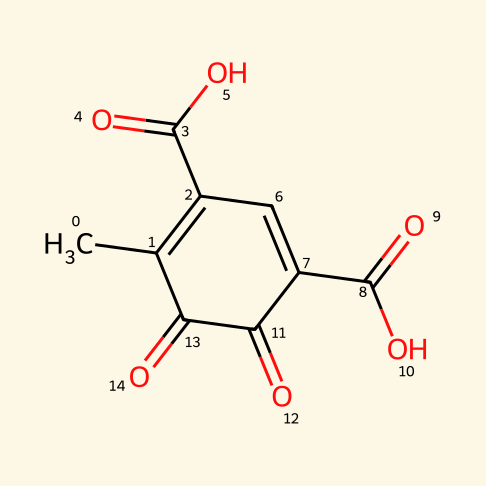 CC1=C(C(=O)O)C=C(C(=O)O)C(=O)C1=O